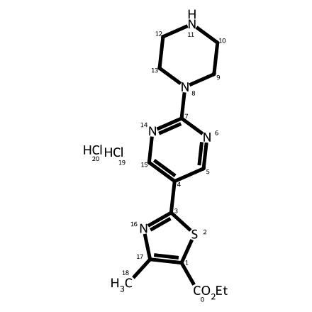 CCOC(=O)c1sc(-c2cnc(N3CCNCC3)nc2)nc1C.Cl.Cl